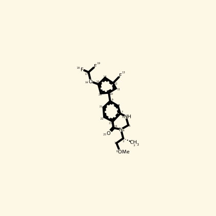 COC[C@@H](C)N1CNc2cc(-c3cc(F)cc(OC(F)F)c3)ccc2C1=O